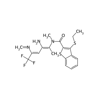 C=N/C(=C\C(N)=C(/C)N(C)C(=O)c1sc2ccccc2c1SCC)C(F)(F)F